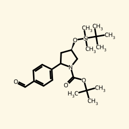 CC(C)(C)OC(=O)N1C[C@H](O[Si](C)(C)C(C)(C)C)CC1c1ccc(C=O)cc1